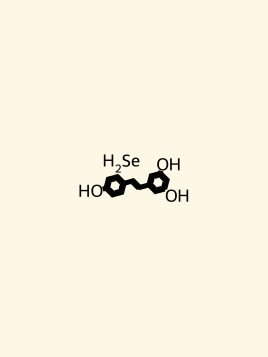 Oc1ccc(C=Cc2cc(O)cc(O)c2)cc1.[SeH2]